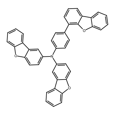 c1ccc2c(c1)oc1ccc(N(c3ccc(-c4cccc5c4oc4ccccc45)cc3)c3ccc4oc5ccccc5c4c3)cc12